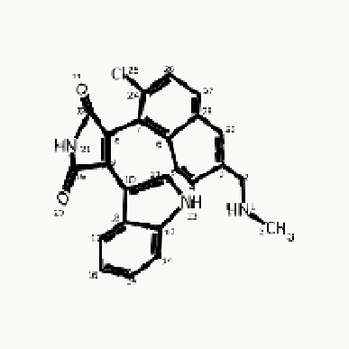 CNCc1ccc2c(C3=C(c4c[nH]c5ccccc45)C(=O)NC3=O)c(Cl)ccc2c1